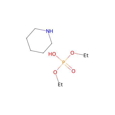 C1CCNCC1.CCOP(=O)(O)OCC